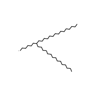 [CH2]CCCCCC(CCCCCCCCCCCCCCC)CCCCCCCCCCCCCCC